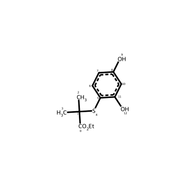 CCOC(=O)C(C)(C)Sc1ccc(O)cc1O